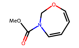 COC(=O)N1C=CC=COC1